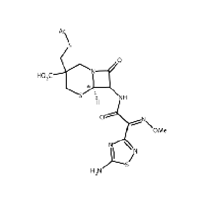 CON=C(C(=O)NC1C(=O)N2CC(CSC(C)=O)(C(=O)O)CS[C@H]12)c1nsc(N)n1